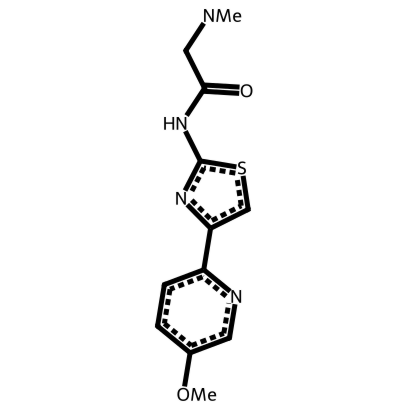 CNCC(=O)Nc1nc(-c2ccc(OC)cn2)cs1